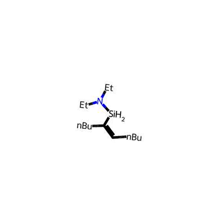 CCCCC=C(CCCC)[SiH2]N(CC)CC